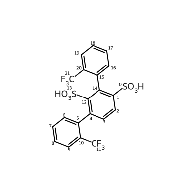 O=S(=O)(O)c1ccc(-c2ccccc2C(F)(F)F)c(S(=O)(=O)O)c1-c1ccccc1C(F)(F)F